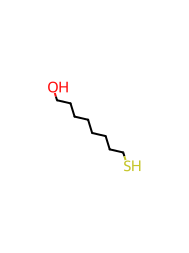 OCCCCCCCCS